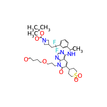 C[C@@H](Nc1ncnc2c1cc(C1CCS(=O)(=O)CC1)c(=O)n2CCCOCCCC=O)c1cccc(C(F)(F)CC2CN(C(=O)OC(C)(C)C)C2)c1